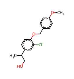 COc1ccc(COc2ccc(C(C)CO)cc2Cl)cc1